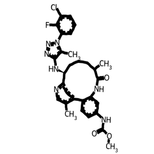 COC(=O)Nc1ccc2c(c1)NC(=O)C(C)CCC[C@H](Nc1nnn(-c3cccc(Cl)c3F)c1C)c1cc-2c(C)cn1